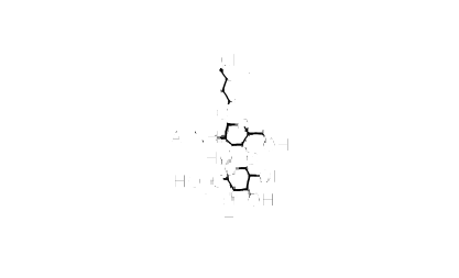 C=CCCCO[C@H]1OC(CO)[C@@H](O[C@@H]2OC(C(=O)O)[C@@H](O)[C@H](O)C2O)[C@H](O)C1NC(C)=O